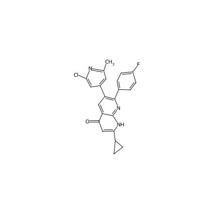 Cc1cc(-c2cc3c(=O)cc(C4CC4)[nH]c3nc2-c2ccc(F)cc2)cc(Cl)n1